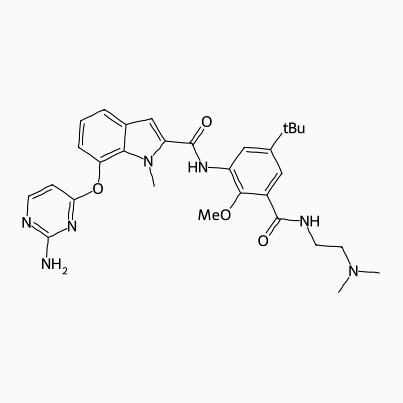 COc1c(NC(=O)c2cc3cccc(Oc4ccnc(N)n4)c3n2C)cc(C(C)(C)C)cc1C(=O)NCCN(C)C